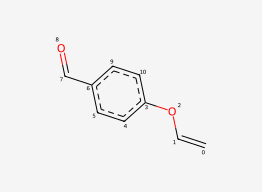 C=COc1ccc(C=O)cc1